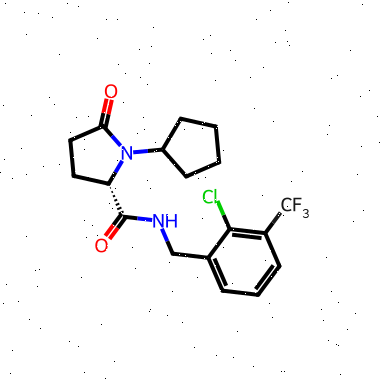 O=C(NCc1cccc(C(F)(F)F)c1Cl)[C@@H]1CCC(=O)N1C1CCCC1